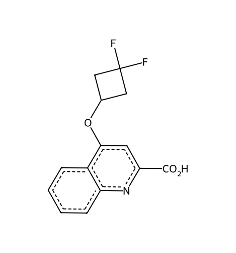 O=C(O)c1cc(OC2CC(F)(F)C2)c2ccccc2n1